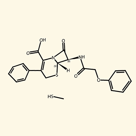 CS.O=C(COc1ccccc1)N[C@@H]1C(=O)N2C(C(=O)O)=C(c3ccccc3)CS[C@@H]12